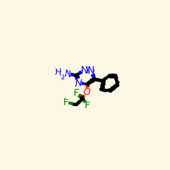 Nc1nnc(-c2ccccc2)c(OC(F)(F)CF)n1